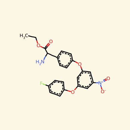 CCOC(=O)C(N)c1ccc(Oc2cc(Oc3ccc(F)cc3)cc([N+](=O)[O-])c2)cc1